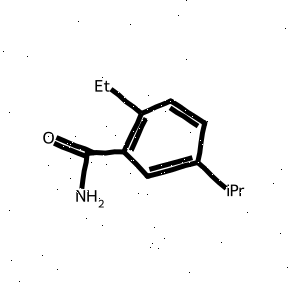 CCc1ccc(C(C)C)cc1C(N)=O